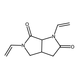 C=CN1CC2CC(=O)N(C=C)C2C1=O